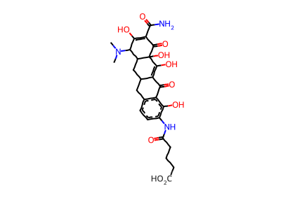 CN(C)C1C(O)=C(C(N)=O)C(=O)C2(O)C(O)=C3C(=O)c4c(ccc(NC(=O)CCCC(=O)O)c4O)CC3CC12